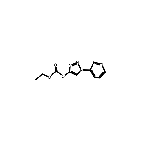 CCOC(=O)Oc1cn(-c2cccnc2)nn1